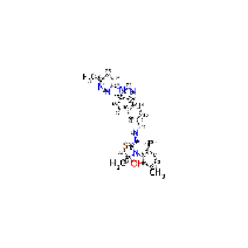 Cc1ccc(C(C)C)c(N2C(=NN=Cc3ccc4c(ccc5c4ncn5-c4ccc(C(F)(F)F)nn4)c3)SCC2(C)O)c1